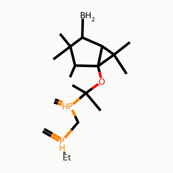 BC1C2C(C)(C)C2(OC(C)(C)[PH](=C)C[PH](=C)CC)C(C)C1(C)C